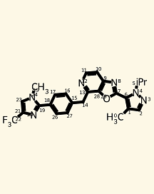 Cc1cnn(C(C)C)c1-c1nc2ccnc(Cc3ccc(-c4nc(C(F)(F)F)cn4C)cc3)c2o1